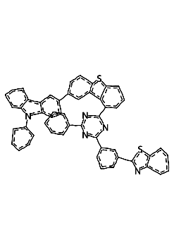 c1ccc(-c2nc(-c3cccc(-c4nc5ccccc5s4)c3)nc(-c3cccc4sc5ccc(-c6ccc7c(c6)c6ccccc6n7-c6ccccc6)cc5c34)n2)cc1